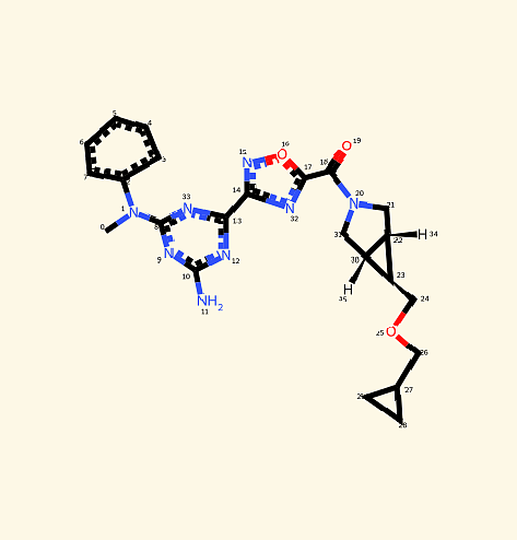 CN(c1ccccc1)c1nc(N)nc(-c2noc(C(=O)N3C[C@@H]4[C@@H](COCC5CC5)[C@@H]4C3)n2)n1